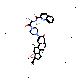 C#C[C@]1(O)CCC2[C@@H]3CCC4CC(=O)C(N5CCN(C(=O)[C@H](C)N(CCC)C(=O)c6ccc7ccccc7n6)CC5)=C[C@]4(C)C3CC[C@@]21C